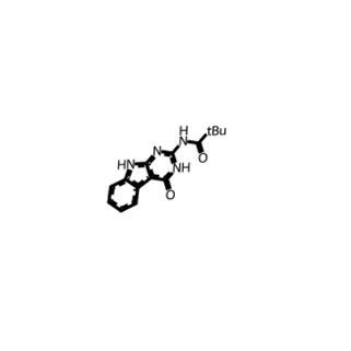 CC(C)(C)C(=O)Nc1nc2[nH]c3ccccc3c2c(=O)[nH]1